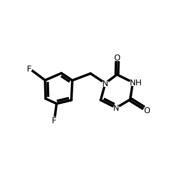 O=c1ncn(Cc2cc(F)cc(F)c2)c(=O)[nH]1